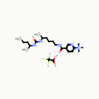 C[N+](C)(C)c1ccc(C(=O)NCCCCC(NC(=O)NC(CCC(=O)O)C(=O)O)C(=O)O)cn1.O=C([O-])C(F)(F)F